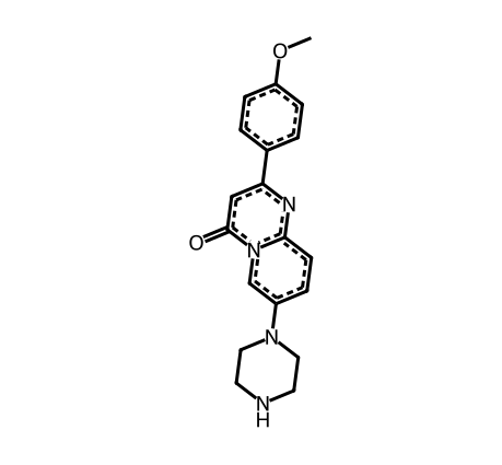 COc1ccc(-c2cc(=O)n3cc(N4CCNCC4)ccc3n2)cc1